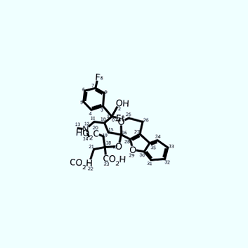 CCC(O)(c1cccc(F)c1)C(CN(C)C)CC1(OC(CC(=O)O)(CC(=O)O)C(=O)O)OCCc2c1oc1ccccc21